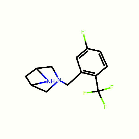 Fc1ccc(C(F)(F)F)c(CN2CC3CC(C2)N3)c1